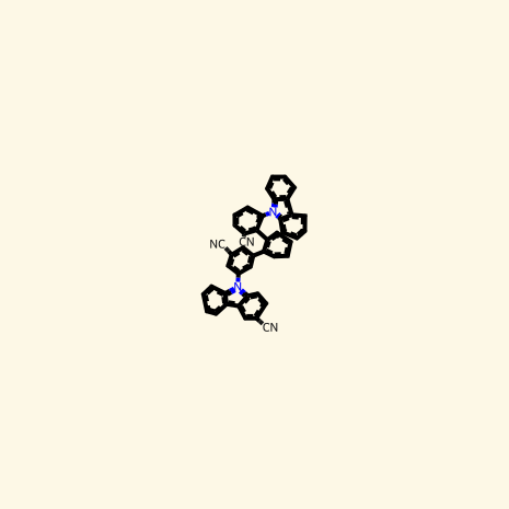 N#Cc1cc(-c2ccccc2-c2c(C#N)cccc2-n2c3ccccc3c3ccccc32)cc(-n2c3ccccc3c3cc(C#N)ccc32)c1